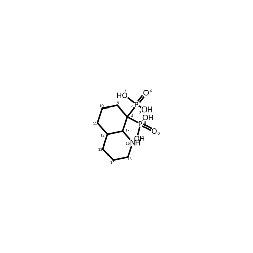 O=P(O)(O)C1(P(=O)(O)O)CCCC2CCCNC21